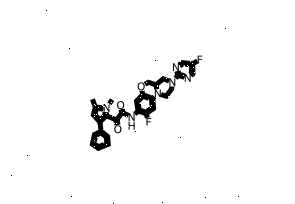 Cc1cc(-c2ccccc2)c(C(=O)C(=O)Nc2cc3c(cc2F)N2CCN(c4ncc(F)cn4)CC2CO3)n1C